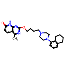 Cc1nc(OCCCCN2CCN(c3cccc4c3CCCC4)CC2)nc2[nH]c(=O)ccc12